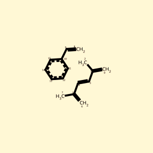 C=C(C)C=CC(=C)C.C=Cc1ccccc1